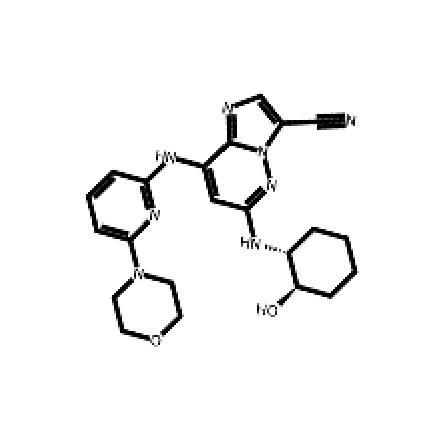 N#Cc1cnc2c(Nc3cccc(N4CCOCC4)n3)cc(N[C@@H]3CCCC[C@H]3O)nn12